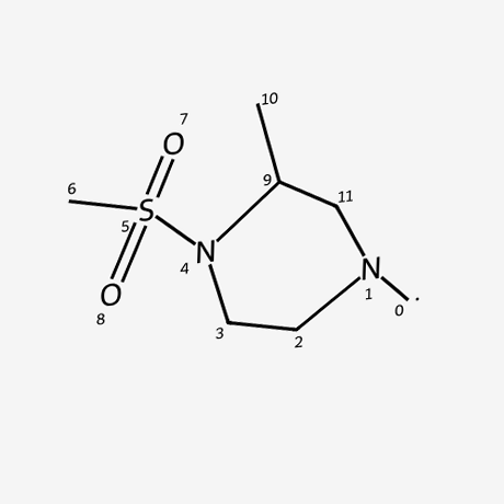 [CH2]N1CCN(S(C)(=O)=O)C(C)C1